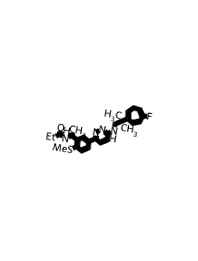 C=C(NC(=O)CC)c1cc(-c2ccc(NCC(C)(C)C3=CCC=C(F)C=C3)nn2)ccc1SC